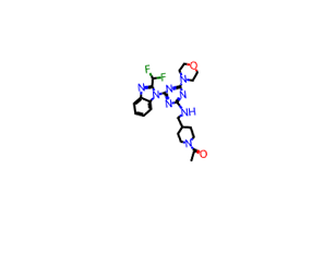 CC(=O)N1CCC(CNc2nc(N3CCOCC3)nc(-n3c(C(F)F)nc4ccccc43)n2)CC1